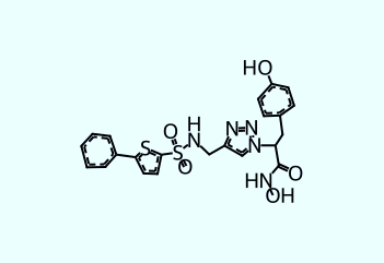 O=C(NO)C(Cc1ccc(O)cc1)n1cc(CNS(=O)(=O)c2ccc(-c3ccccc3)s2)nn1